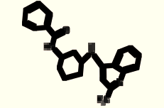 O=C(NC1CCCC(Nc2cc(C(F)(F)F)nc3ccccc23)C1)c1ccccc1